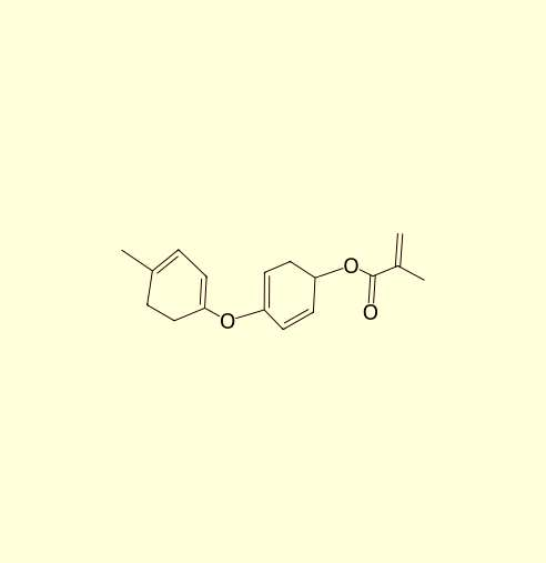 C=C(C)C(=O)OC1C=CC(OC2=CC=C(C)CC2)=CC1